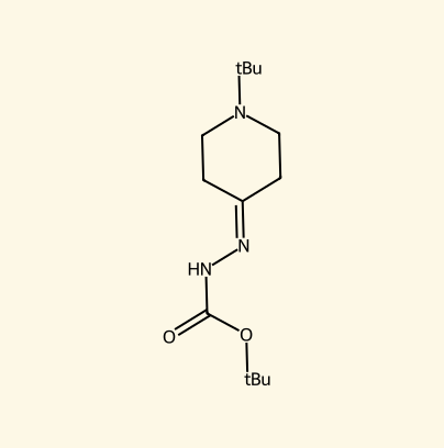 CC(C)(C)OC(=O)NN=C1CCN(C(C)(C)C)CC1